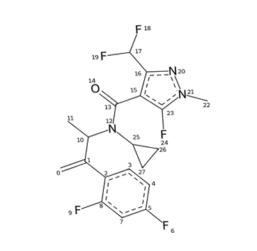 C=C(c1ccc(F)cc1F)C(C)N(C(=O)c1c(C(F)F)nn(C)c1F)C1CC1